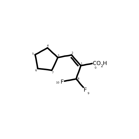 O=C(O)C(=CC1CCCC1)C(F)F